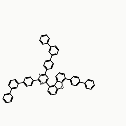 c1ccc(-c2ccc(-c3cccc4c3oc3cccc(-c5nc(-c6ccc(-c7cccc(-c8ccccc8)c7)cc6)nc(-c6ccc(-c7cccc(-c8ccccc8)c7)cc6)n5)c34)cc2)cc1